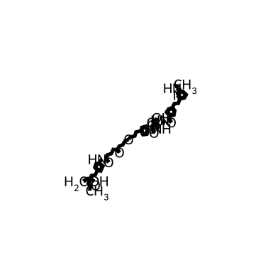 C=CC(O)(CCc1ccc(NC(=O)CCCC(=O)CCCOCCCc2ccc(S(=O)(=O)N[C@@H](CNC(=O)c3ccc(CCc4cccc(NC)n4)cc3)C(=O)O)cc2)cc1)CC(C)=O